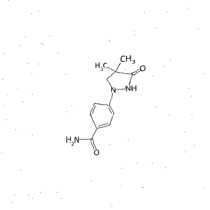 CC1(C)CN(c2ccc(C(N)=O)cc2)NC1=O